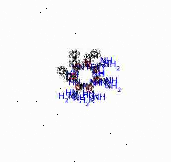 N=C(N)NCCC[C@@H]1NC(=O)[C@H](CCCNC(=N)N)NC(=O)[C@H](CCCNC(=N)N)NC(=O)[C@H](Cc2ccc(-c3ccccc3)cc2)NC(=O)[C@H](Cc2ccc(-c3ccccc3)cc2)NC(=O)[C@H](Cc2ccc(-c3ccccc3)cc2)NC(=O)[C@H](CCCNC(=N)N)NC1=O